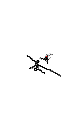 CCCC#CCCCc1ccccc1/N=C(\C=C\CCCCCCCCCCCCCCCCCCCC)C(/CCCCCC)=N/c1ccccc1CCCC#CCCC.CCCCCc1cc([O-])c([O-])c(CCCC)c1.[Ni+2]